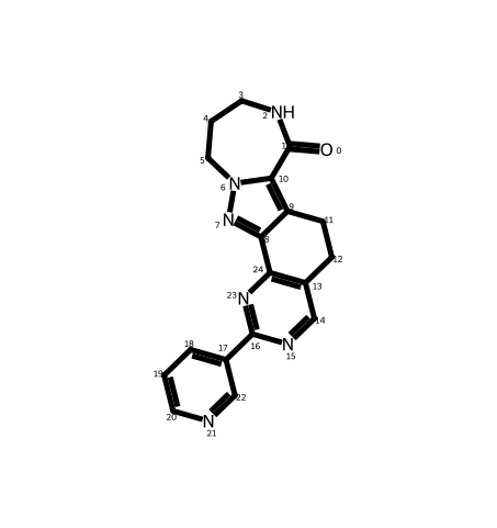 O=C1NCCCn2nc3c(c21)CCc1cnc(-c2cccnc2)nc1-3